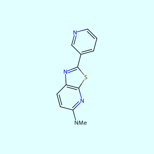 CNc1ccc2nc(-c3cccnc3)sc2n1